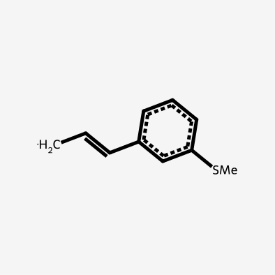 [CH2]C=Cc1cccc(SC)c1